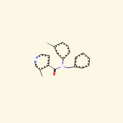 Cc1cnccc1C(=O)N(Cc1ccccc1)c1cccc(Cl)c1